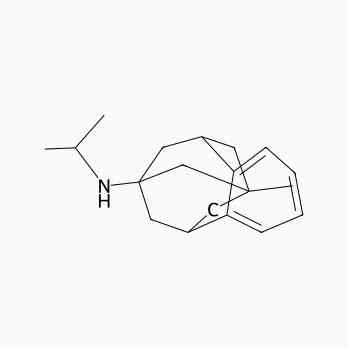 CC(C)NC12CC3CC(C)(CC(C1)c1ccccc13)C2